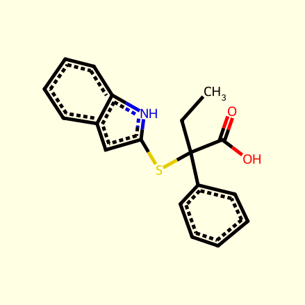 CCC(Sc1cc2ccccc2[nH]1)(C(=O)O)c1ccccc1